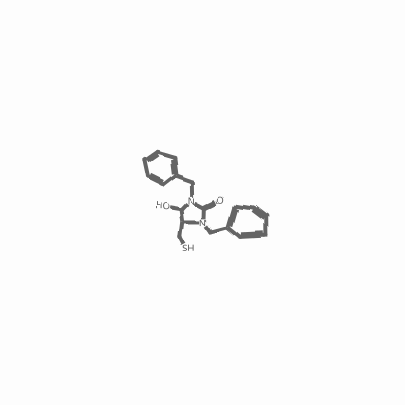 O=C1N(Cc2ccccc2)C(O)C(CS)N1Cc1ccccc1